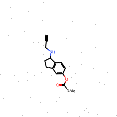 C#CCNC1CCc2cc(OC(=O)NC)ccc21